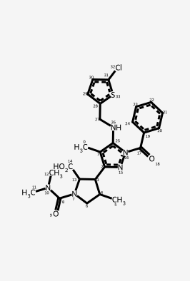 Cc1c(C2C(C)CN(C(=O)N(C)C)C2C(=O)O)nn(C(=O)c2ccccc2)c1NCc1ccc(Cl)s1